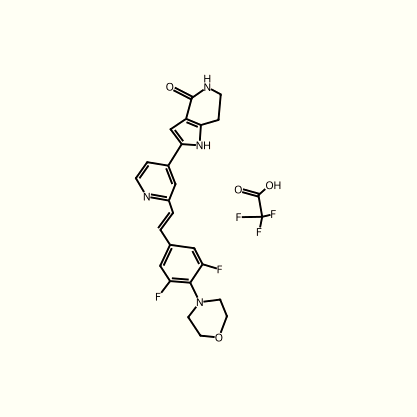 O=C(O)C(F)(F)F.O=C1NCCc2[nH]c(-c3ccnc(/C=C/c4cc(F)c(N5CCOCC5)c(F)c4)c3)cc21